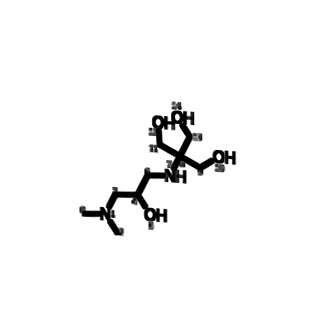 CN(C)CC(O)CNC(CO)(CO)CO